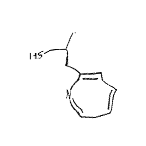 [CH2]C(S)c1ccccn1